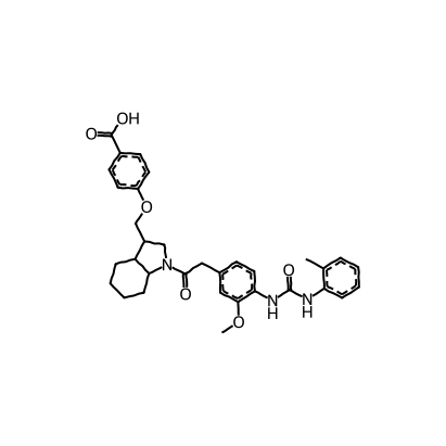 COc1cc(CC(=O)N2CC(COc3ccc(C(=O)O)cc3)C3CCCCC32)ccc1NC(=O)Nc1ccccc1C